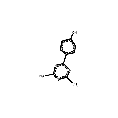 Cc1nc(C)nc(-c2ccc(O)cc2)n1